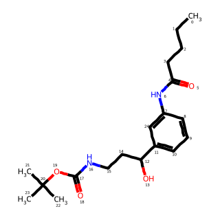 CCCCC(=O)Nc1cccc(C(O)CCNC(=O)OC(C)(C)C)c1